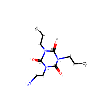 N#CCCn1c(=O)n(CCN)c(=O)n(CCC#N)c1=O